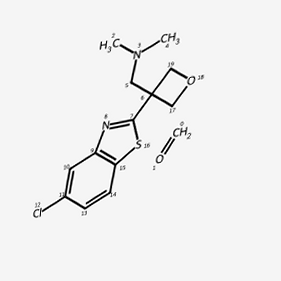 C=O.CN(C)CC1(c2nc3cc(Cl)ccc3s2)COC1